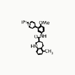 COc1ccc(NC(=O)C2CCc3c(C)cccc3NC2)cc1C1CCN(C(C)C)CC1